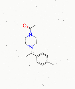 CC(=O)N1CCN(C(C)c2ccc(C)cc2)CC1